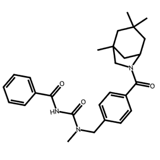 CN(Cc1ccc(C(=O)N2CC3(C)CC2CC(C)(C)C3)cc1)C(=O)NC(=O)c1ccccc1